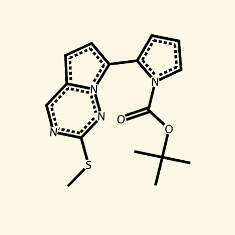 CSc1ncc2ccc(-c3cccn3C(=O)OC(C)(C)C)n2n1